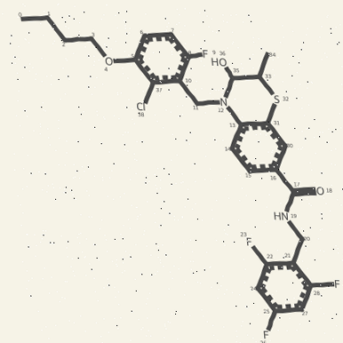 CCCCOc1ccc(F)c(CN2c3ccc(C(=O)NCc4c(F)cc(F)cc4F)cc3SC(C)C2O)c1Cl